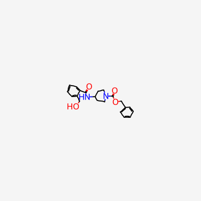 O=C(NC1CCN(C(=O)OCc2ccccc2)CC1)c1ccccc1CO